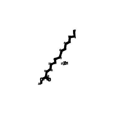 CCCCCCCCCCCCCC(=O)OC.[Zn]